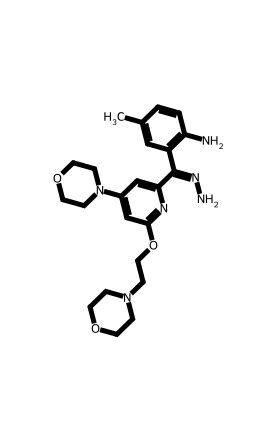 Cc1ccc(N)c(C(=NN)c2cc(N3CCOCC3)cc(OCCN3CCOCC3)n2)c1